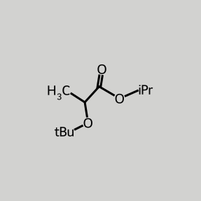 CC(C)OC(=O)C(C)OC(C)(C)C